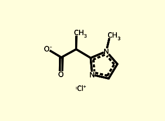 CC(C(=O)[O-])c1nccn1C.[Cl+]